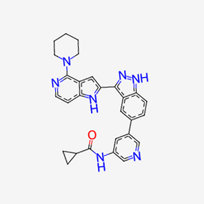 O=C(Nc1cncc(-c2ccc3[nH]nc(-c4cc5c(N6CCCCC6)nccc5[nH]4)c3c2)c1)C1CC1